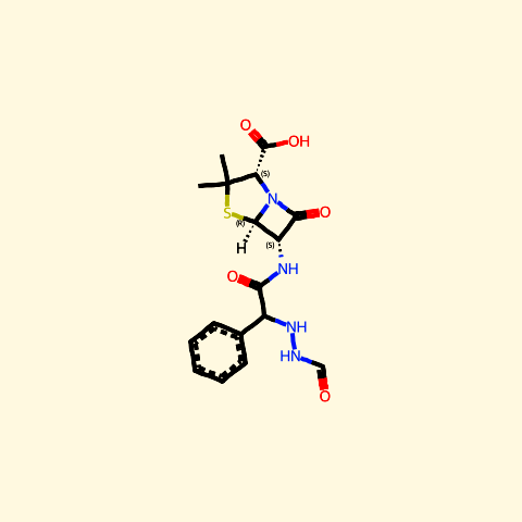 CC1(C)S[C@@H]2[C@@H](NC(=O)C(NNC=O)c3ccccc3)C(=O)N2[C@H]1C(=O)O